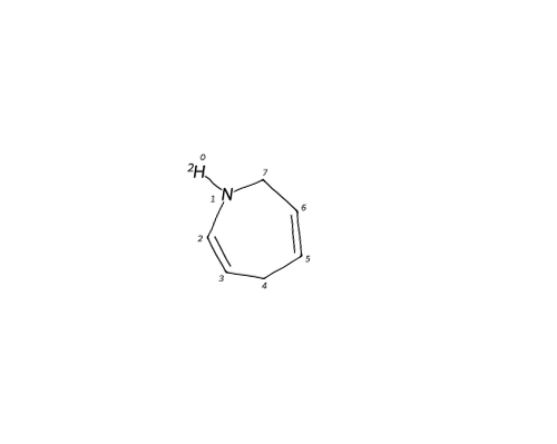 [2H]N1C=CCC=CC1